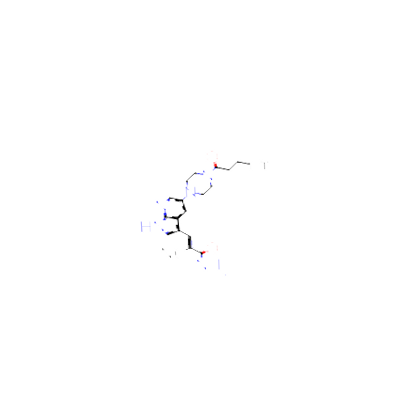 CC(C)CCC(=O)N1CCN(c2cnc3[nH]cc(/C=C(\C#N)C(N)=O)c3c2)CC1